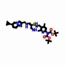 Cc1cc(N(C(=O)OC(C)(C)C)C(=O)OC(C)(C)C)nc(C)c1CNS/C(C=N)=C/NCc1cn2cc(C3CC3)ccc2n1